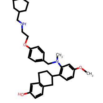 COc1ccc(C2CCc3cc(O)ccc3C2)c(N(C)Cc2ccc(OCCNCC3CCCCC3)cc2)c1